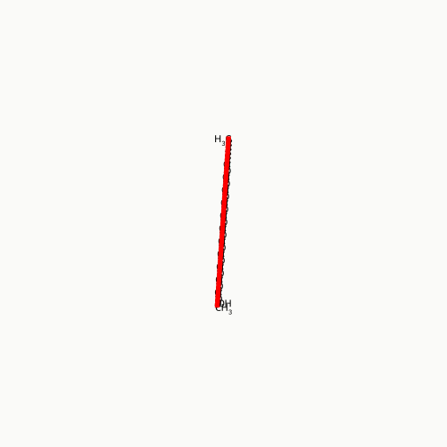 CCCCCCCCCCCCOCCOCCOCCOCCOCCOCCOCCOCCOCCOCCOCCOCCOCCOCCOCCOCCOCCOCCOCCOCCOCCOCC(O)CC